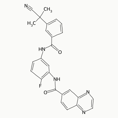 CC(C)(C#N)c1cccc(C(=O)Nc2ccc(F)c(NC(=O)c3ccc4nccnc4c3)c2)c1